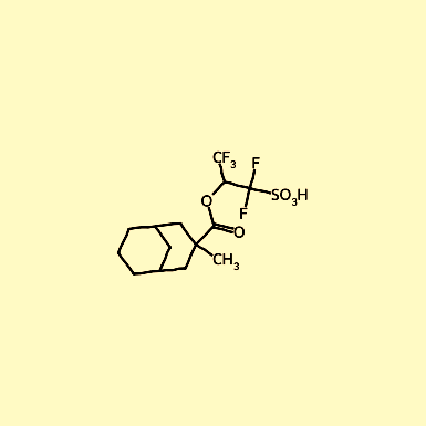 CC1(C(=O)OC(C(F)(F)F)C(F)(F)S(=O)(=O)O)CC2CCCC(C2)C1